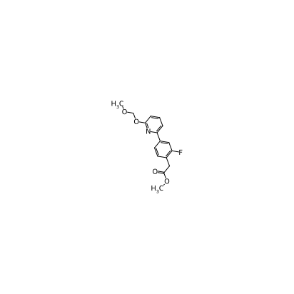 COCOc1cccc(-c2ccc(CC(=O)OC)c(F)c2)n1